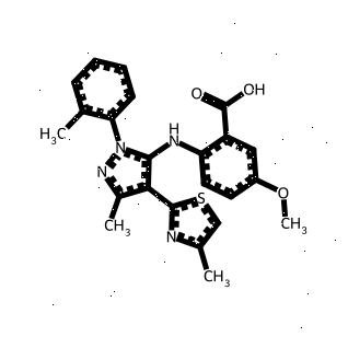 COc1ccc(Nc2c(-c3nc(C)cs3)c(C)nn2-c2ccccc2C)c(C(=O)O)c1